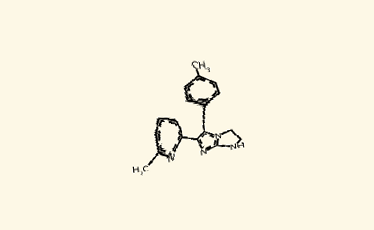 Cc1ccc(-c2c(-c3cccc(C)n3)nc3n2CCN3)cc1